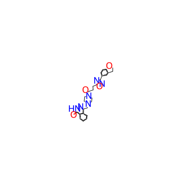 O=C(CCc1nc(-c2ccc3c(c2)CCO3)no1)N1CCN(Cc2n[nH]c(=O)c3ccccc23)CC1